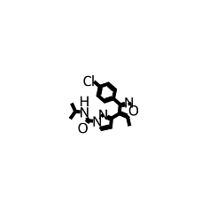 Cc1onc(-c2ccc(Cl)cc2)c1-c1ccn(C(=O)NC(C)C)n1